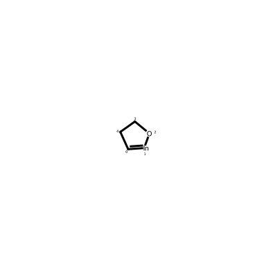 [CH]1=[In][O]CC1